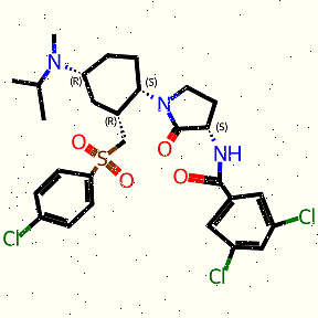 CC(C)N(C)[C@@H]1CC[C@H](N2CC[C@H](NC(=O)c3cc(Cl)cc(Cl)c3)C2=O)[C@H](CS(=O)(=O)c2ccc(Cl)cc2)C1